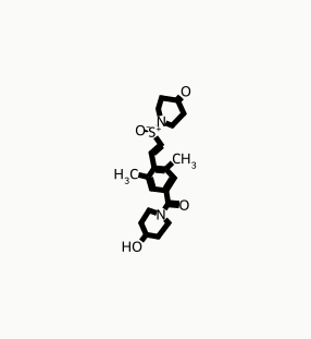 Cc1cc(C(=O)N2CCC(O)CC2)cc(C)c1/C=C/[S@+]([O-])N1CCC(=O)CC1